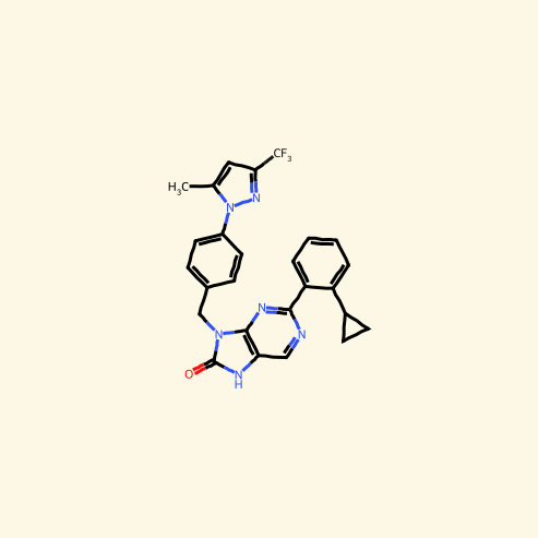 Cc1cc(C(F)(F)F)nn1-c1ccc(Cn2c(=O)[nH]c3cnc(-c4ccccc4C4CC4)nc32)cc1